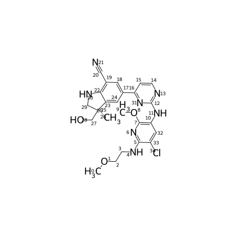 COCCNc1nc(OC)c(Nc2nccc(-c3cc(C#N)c4c(c3)[C@@](C)(CO)CN4)n2)cc1Cl